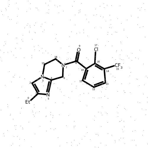 CCc1cn2c(n1)CN(C(=O)c1cccc(C(F)(F)F)c1Cl)CC2